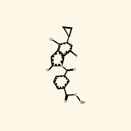 CC(C)(C)OC(=O)c1cccc(C(=O)n2c(Cl)cc3c(Cl)c(C4CC4)cc(F)c32)c1